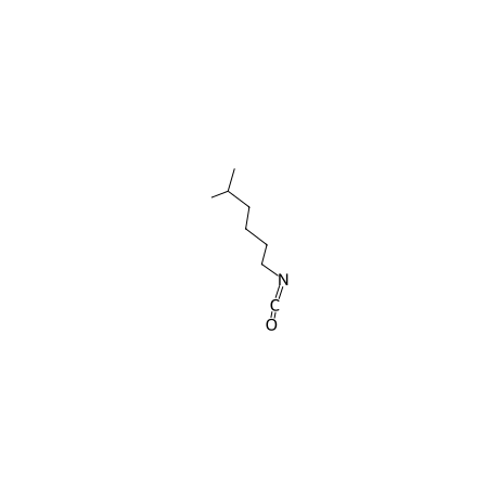 CC(C)CCCCN=C=O